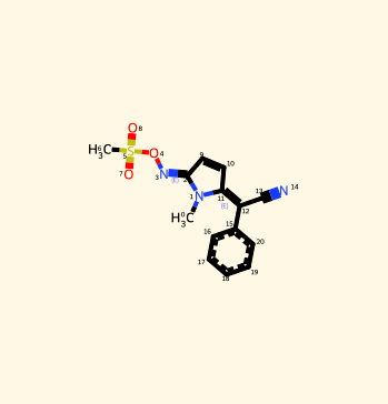 CN1/C(=N/OS(C)(=O)=O)C=C/C1=C(\C#N)c1ccccc1